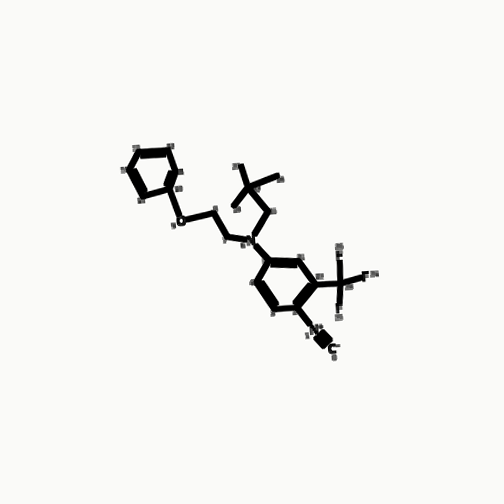 [C-]#[N+]c1ccc(N(CCOc2ccccc2)CC(C)(C)C)cc1C(F)(F)F